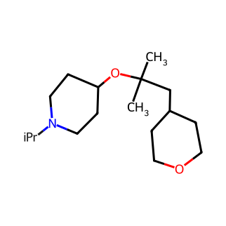 CC(C)N1CCC(OC(C)(C)CC2CCOCC2)CC1